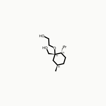 CC(C)[C@@H]1CC[C@@H](C)C[C@]1(CO)OCCO